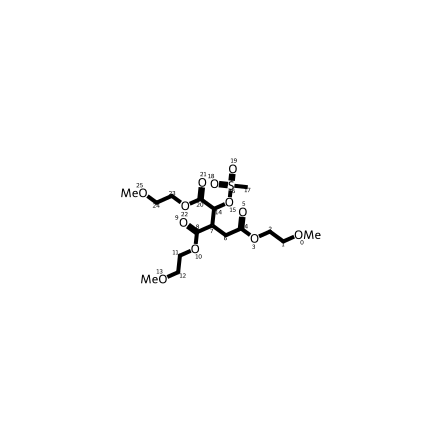 COCCOC(=O)CC(C(=O)OCCOC)C(OS(C)(=O)=O)C(=O)OCCOC